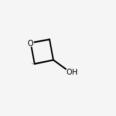 OC1[CH]OC1